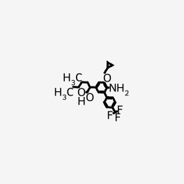 CCCC(C)CC(C(=O)O)c1cc(OCC2CC2)c(N)c(-c2ccc(C(F)(F)F)cc2)c1